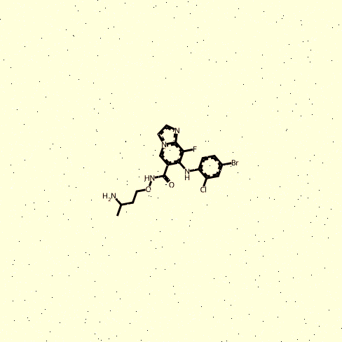 CC(N)CCONC(=O)c1cn2ccnc2c(F)c1Nc1ccc(Br)cc1Cl